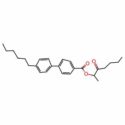 CCCCCCc1ccc(-c2ccc(C(=O)OC(C)C(=O)CCCC)cc2)cc1